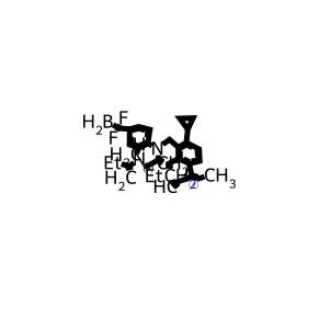 BC(F)(F)c1ccc(N(Cc2c(C3CC3)ccc(/C(C#C)=C\C)c2C=C)C(=C)[C@H](CC)NC(=C)CC)c(C)c1